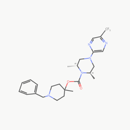 C[C@@H]1CN(c2cnc(C(F)(F)F)cn2)C[C@@H](C)N1C(=O)OC1(C)CCN(Cc2ccccc2)CC1